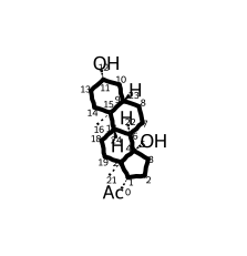 CC(=O)[C@H]1CC[C@]2(O)[C@@H]3CC[C@H]4C[C@@H](O)CC[C@]4(C)[C@H]3CC[C@]12C